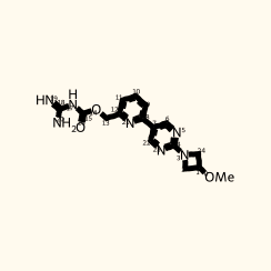 COC1CN(c2ncc(-c3cccc(COC(=O)NC(=N)N)n3)cn2)C1